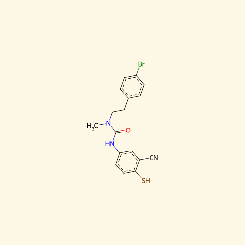 CN(CCc1ccc(Br)cc1)C(=O)Nc1ccc(S)c(C#N)c1